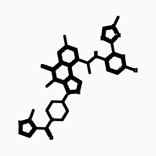 Cc1cc(C(C)Nc2ccc(Cl)nc2-c2ncn(C)n2)c2c(c1)c(=O)n(C)c1c2cnn1C1CCN(C(=O)c2ccnn2C)CC1